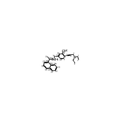 CCN(CC)CC#Cc1ccc(CNC(C)c2cccc3ccccc23)cc1O